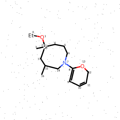 CCO[Si]1(C)CCCN(C2=CC=CCO2)CC(C)C1